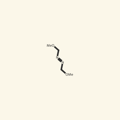 COCN=NCOC